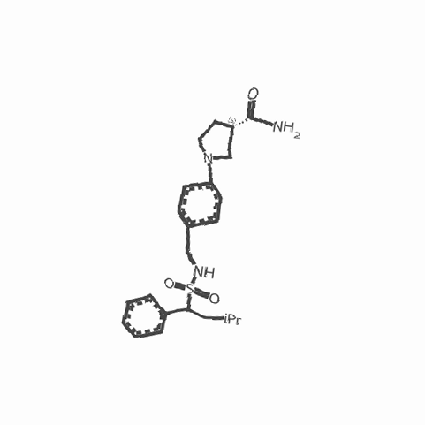 CC(C)CC(c1ccccc1)S(=O)(=O)NCc1ccc(N2CC[C@H](C(N)=O)C2)cc1